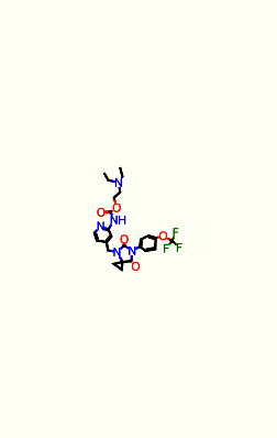 CCN(CC)CCOC(=O)Nc1cc(CN2C(=O)N(c3ccc(OC(F)(F)F)cc3)C(=O)C23CC3)ccn1